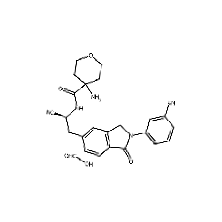 N#Cc1cccc(N2Cc3cc(C[C@@H](C#N)NC(=O)C4(N)CCOCC4)ccc3C2=O)c1.O=CO